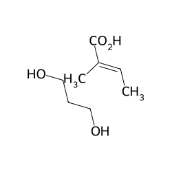 CC=C(C)C(=O)O.OCCCO